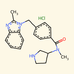 Cc1nc2ccccc2n1Cc1ccc(C(=O)N(C)C2CCNC2)cc1.Cl